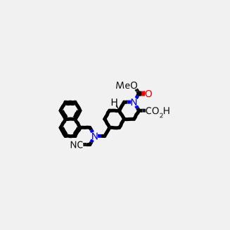 COC(=O)N1C[C@@H]2CCC(CN(CC#N)Cc3cccc4ccccc34)CC2CC1C(=O)O